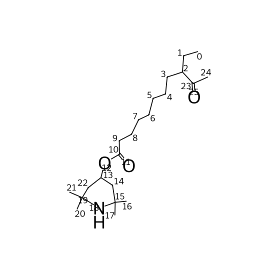 CCC(CCCCCCCC(=O)OC1CC(C)(C)NC(C)(C)C1)C(C)=O